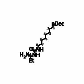 CCCCCCCCCCCCCCCCCCNC(=O)NC(N)CC